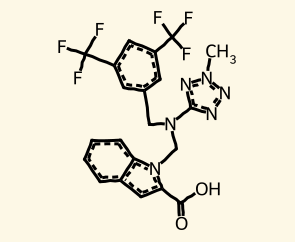 Cn1nnc(N(Cc2cc(C(F)(F)F)cc(C(F)(F)F)c2)Cn2c(C(=O)O)cc3ccccc32)n1